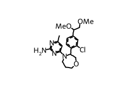 COCC(OC)c1ccc(C2COCCCN2c2cc(C)nc(N)n2)c(Cl)c1